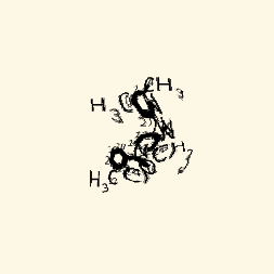 Cc1cc(C)nc(-n2nnc3c2C=CN(C(=O)c2cccc(C)c2Cl)C3C)c1